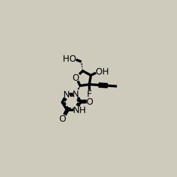 CC#CC1(F)C(O)[C@@H](CO)O[C@H]1n1ncc(=O)[nH]c1=O